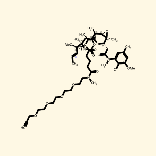 C#CCOCCOCCOCCOCCN(C)C(=O)CCCC(=O)N(C)[C@@H](C)C(=O)O[C@@H](CC(=O)N(C)c1cc(C)cc(OC)c1Cl)[C@]1(C)O[C@H]1[C@H](C)[C@@H]1C[C@](O)([C@@H](/C=C/C)OC)NC(=O)O1